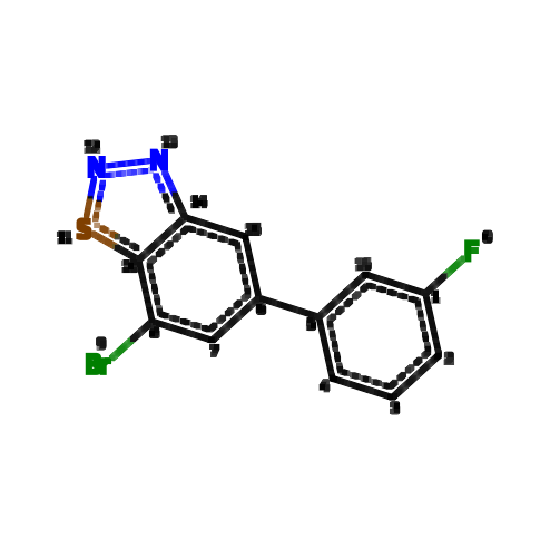 Fc1cccc(-c2cc(Br)c3snnc3c2)c1